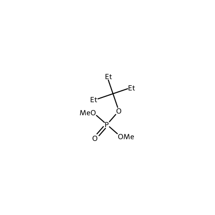 CCC(CC)(CC)OP(=O)(OC)OC